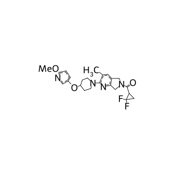 COc1ccc(OC2CCN(c3nc4c(cc3C)CN(C(=O)C3CC3(F)F)C4)CC2)cn1